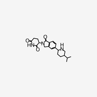 CC(C)C1CCC(c2ccc3c(c2)CN(C2CCC(=O)NC2=O)C3=O)NC1